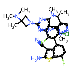 CC(c1cnn(C)c1N)N(C)c1nc(N2CC(C)(N(C)C)C2)nc2c(F)c(-c3ccc(F)c4sc(N)c(C#N)c34)c(Cl)cc12